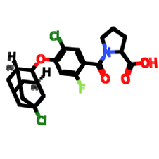 O=C(O)C1CCCN1C(=O)c1cc(Cl)c(OC2[C@@H]3CC4C[C@H]2CC(Cl)(C4)C3)cc1F